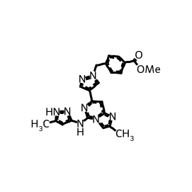 COC(=O)c1ccc(Cn2cc(-c3cc4nc(C)cn4c(Nc4cc(C)[nH]n4)n3)cn2)cc1